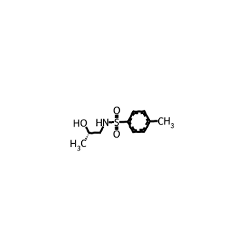 Cc1ccc(S(=O)(=O)NC[C@H](C)O)cc1